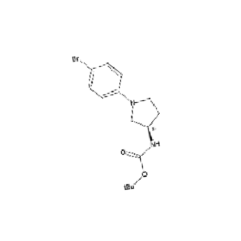 CC(C)(C)OC(=O)N[C@@H]1CCN(c2ccc(Br)cc2)C1